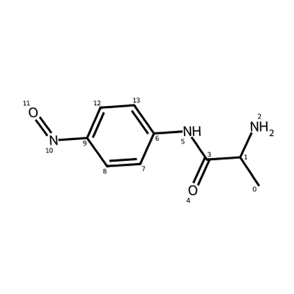 CC(N)C(=O)Nc1ccc(N=O)cc1